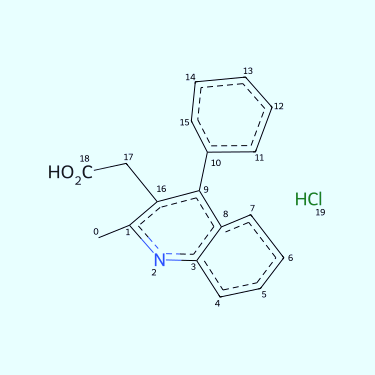 Cc1nc2ccccc2c(-c2ccccc2)c1CC(=O)O.Cl